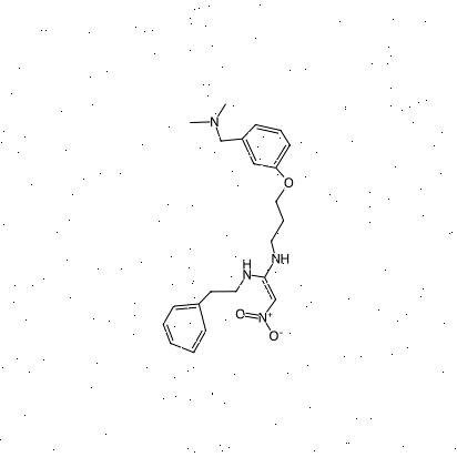 CN(C)Cc1cccc(OCCCNC(=C[N+](=O)[O-])NCCc2ccccc2)c1